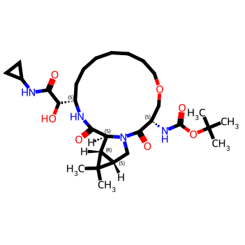 CC(C)(C)OC(=O)N[C@H]1COCCCCCCC[C@@H](C(O)C(=O)NC2CC2)NC(=O)[C@@H]2[C@@H]3[C@H](CN2C1=O)C3(C)C